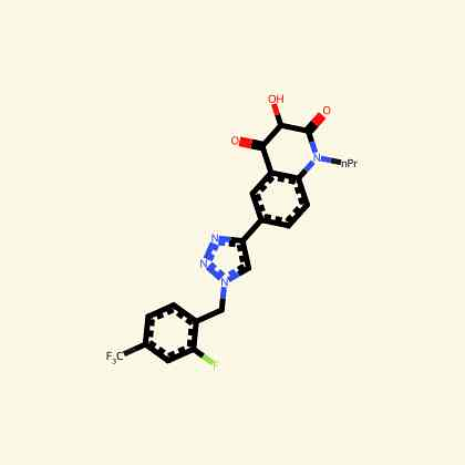 CCCN1C(=O)C(O)C(=O)c2cc(-c3cn(Cc4ccc(C(F)(F)F)cc4F)nn3)ccc21